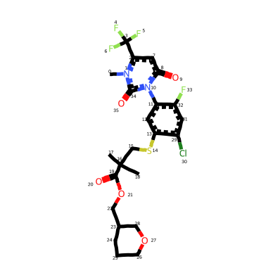 Cn1c(C(F)(F)F)cc(=O)n(-c2cc(SCC(C)(C)C(=O)OCC3CCCOC3)c(Cl)cc2F)c1=O